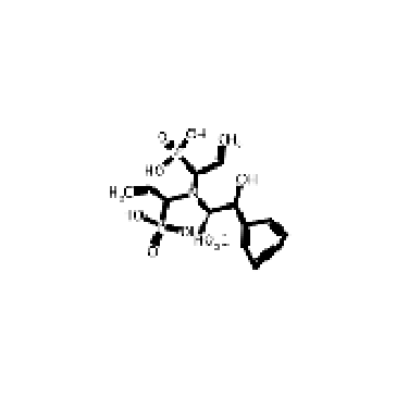 C=CC(N(C(C=C)P(=O)(O)O)[C@H](C(=O)O)C(O)c1ccccc1)P(=O)(O)O